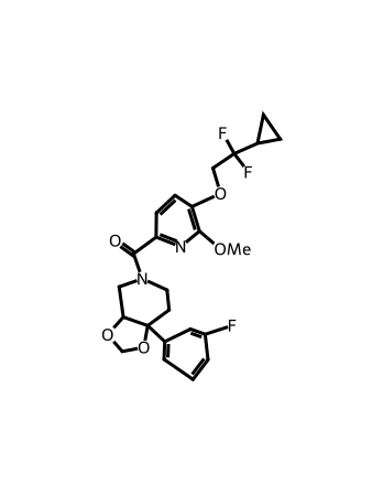 COc1nc(C(=O)N2CCC3(c4cccc(F)c4)OCOC3C2)ccc1OCC(F)(F)C1CC1